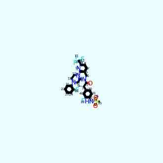 C[C@H](C(=O)NCc1ccc(C(F)(F)F)nc1N1CCN(c2ccccc2F)CC1)c1ccc(NS(C)(=O)=O)c(F)c1